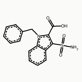 NS(=O)(=O)c1c(C(=O)O)n(Cc2ccccc2)c2ccccc12